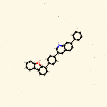 c1ccc(-c2ccc3cc(-c4ccc(-c5cccc6c5oc5ccccc56)cc4)cnc3c2)cc1